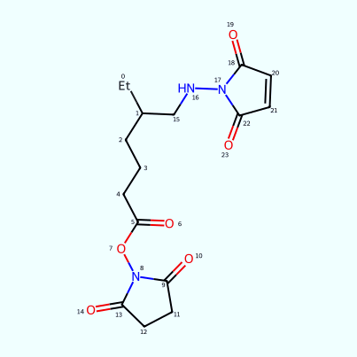 CCC(CCCC(=O)ON1C(=O)CCC1=O)CNN1C(=O)C=CC1=O